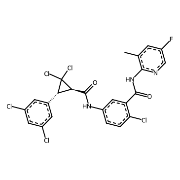 Cc1cc(F)cnc1NC(=O)c1cc(NC(=O)[C@H]2[C@H](c3cc(Cl)cc(Cl)c3)C2(Cl)Cl)ccc1Cl